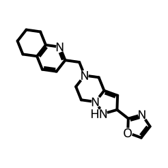 C1=C2CN(Cc3ccc4c(n3)CCCC4)CCN2NC1c1ncco1